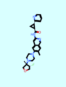 Cc1cc2cnc(NC(=O)[C@H]3C[C@@H]3c3ccccn3)cc2cc1N1CCN([C@@]2(C)COC[C@H]2F)CC1